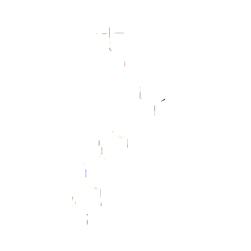 Cc1ccc(Nc2ccc(S(=O)(=O)N[C@H](C)C(=O)OCOC(=O)C(C)(C)C)cc2)cc1